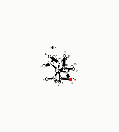 O=[N+]([O-])[Pt]([N+](=O)[O-])([N+](=O)[O-])([N+](=O)[O-])([N+](=O)[O-])[N+](=O)[O-].[K]